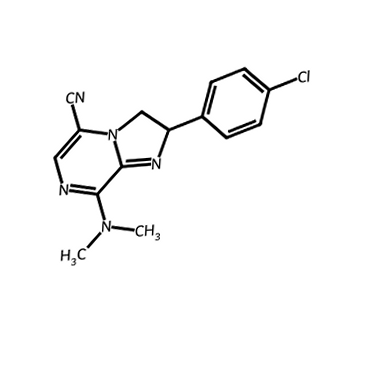 CN(C)C1=NC=C(C#N)N2CC(c3ccc(Cl)cc3)N=C12